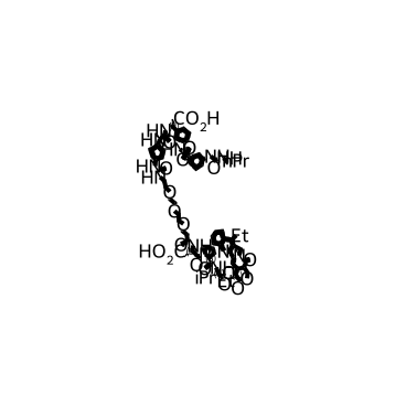 CCCNC(=O)Nc1cccc(S(=O)(=O)Nc2cccc([C@@H](CC(=O)O)NC(=O)Nc3ccc(NC(=O)NCCOCCOCCOCCC(=O)N[C@@H](CC(=O)O)C(=O)N4CCC[C@H]4C(=O)N[C@H](C(=O)O[C@]4(CC)C(=O)OCC5C(=O)N6Cc7c(nc8ccccc8c7CC)C6=CC54)C(C)C)cc3)c2)c1